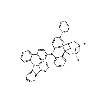 c1ccc(-c2ccc(N(c3ccc(-c4ccccc4-n4c5ccccc5c5ccccc54)cc3)c3ccccc3[C@]34CC(C[C@H]5C[C@H](C5)C3)C4)cc2)cc1